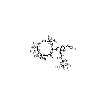 CSc1cc(/C=C(\C)[C@@H]2COC(C)(C)CCC[C@H](C)[C@H](O)[C@@H](C)C(=O)C(C)(C)[C@@H](O)CC(=O)O2)n(CCNC(=O)OC(C)(C)C)n1